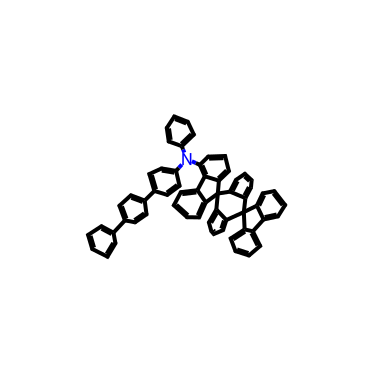 c1ccc(-c2ccc(-c3ccc(N(c4ccccc4)c4cccc5c4-c4ccccc4C54c5ccccc5C5(c6ccccc6-c6ccccc65)c5ccccc54)cc3)cc2)cc1